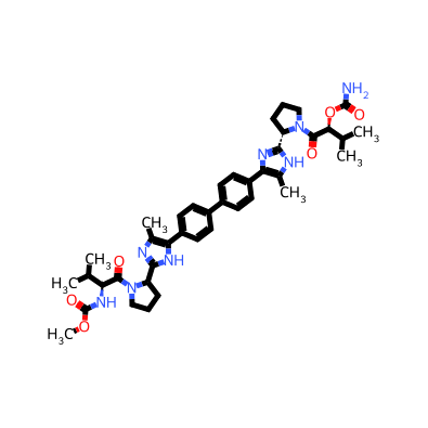 COC(=O)N[C@H](C(=O)N1CCCC1c1nc(C)c(-c2ccc(-c3ccc(-c4nc([C@@H]5CCCN5C(=O)[C@@H](OC(N)=O)C(C)C)[nH]c4C)cc3)cc2)[nH]1)C(C)C